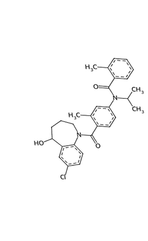 Cc1cc(N(C(=O)c2ccccc2C)C(C)C)ccc1C(=O)N1CCCC(O)c2cc(Cl)ccc21